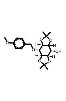 COc1ccc(CO[C@@H]2[C@@H]3OC(C)(C)O[C@@H]3[C@@H](O)[C@@H]3OC(C)(C)O[C@@H]23)cc1